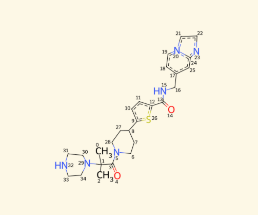 CC(C)(C(=O)N1CCC(c2ccc(C(=O)NCc3ccn4ccnc4c3)s2)CC1)N1CCNCC1